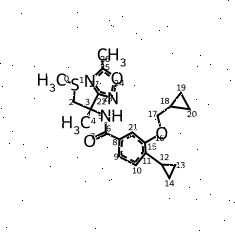 CSC[C@@](C)(NC(=O)c1ccc(C2CC2)c(OCC2CC2)c1)c1noc(C)n1